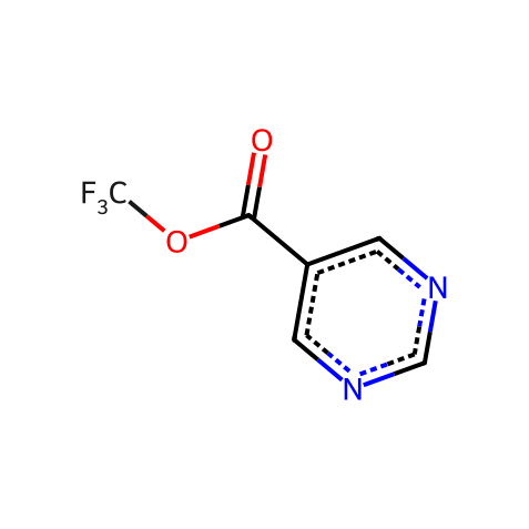 O=C(OC(F)(F)F)c1cncnc1